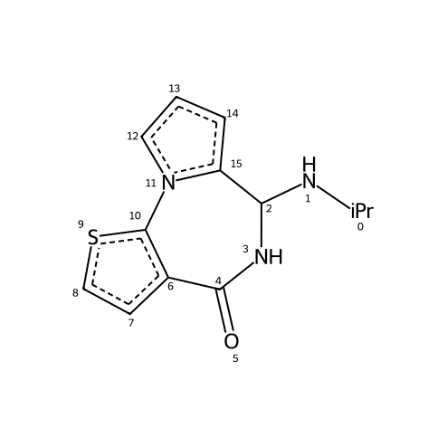 CC(C)NC1NC(=O)c2ccsc2-n2cccc21